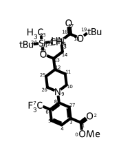 COC(=O)c1ccc(C(F)(F)F)c(N2CCC(C(CNC(=O)OC(C)(C)C)O[Si](C)(C)C(C)(C)C)CC2)c1